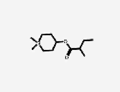 CCC(C)C(=O)OC1CC[Si](C)(C)CC1